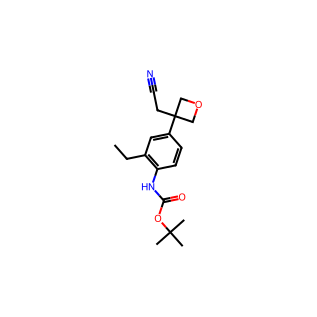 CCc1cc(C2(CC#N)COC2)ccc1NC(=O)OC(C)(C)C